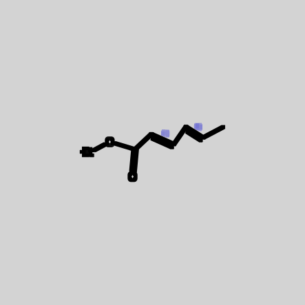 C[CH]OC(=O)/C=C/C=C/C